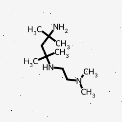 CN(C)CCNC(C)(C)CC(C)(C)N